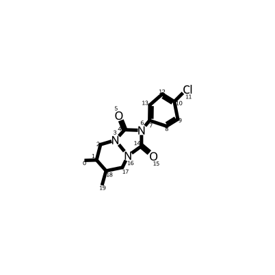 CC1Cn2c(=O)n(-c3ccc(Cl)cc3)c(=O)n2CC1C